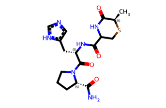 C[C@H]1SCC(C(=O)N[C@@H](Cc2cnc[nH]2)C(=O)N2CCC[C@H]2C(N)=O)NC1=O